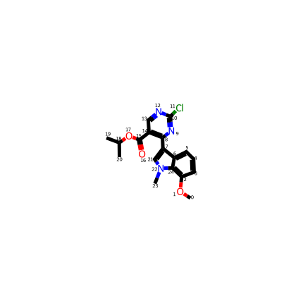 COc1cccc2c(-c3nc(Cl)ncc3C(=O)OC(C)C)cn(C)c12